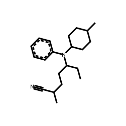 CCC(CCC(C)C#N)N(c1ccccc1)C1CCC(C)CC1